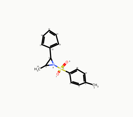 Cc1ccc(S(=O)(=O)N2C(C)C2c2ccccc2)cc1